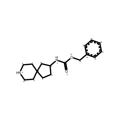 O=C(NC1CCC2(CCNCC2)C1)OCc1ccccc1